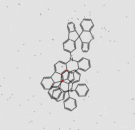 c1ccc(C2(c3ccccc3)c3ccccc3-c3ccc(-c4ccccc4N(c4ccc5c(c4)C4(c6ccccc6Sc6ccccc64)c4ccccc4-5)c4ccc5c(c4)C4(c6ccccc6Sc6ccccc64)c4ccccc4-5)cc32)cc1